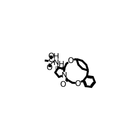 CS(=O)(=O)N[C@H]1CCN2C(=O)COc3ccccc3C3CCC(CC3)OC[C@@H]12